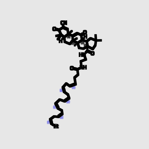 CC/C=C\C/C=C\C/C=C\C/C=C\C/C=C\C/C=C\CCC(=O)NCCNC(=O)[C@]12CCC(C)(C)CC1[C@H]1C(=O)C=C3[C@@]4(C)C=C(C#N)C(=O)C(C)(C)[C@@H]4CC[C@@]3(C)[C@]1(C)CC2